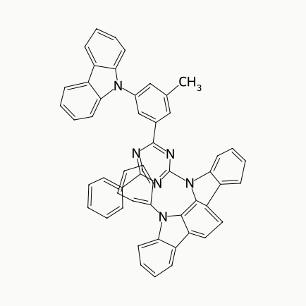 Cc1cc(-c2nc(-c3ccccc3)nc(-n3c4ccccc4c4ccc5c6ccccc6n(-c6ccccc6)c5c43)n2)cc(-n2c3ccccc3c3ccccc32)c1